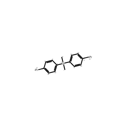 CC(C)c1ccc([Si](C)(C)c2ccc(C(C)C)cc2)cc1